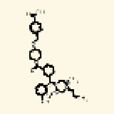 C=CCN1C[C@H](C)N([C@@H](c2cccc(O)c2)c2cccc(C(=O)N3CCC(NCc4ccc(C(=O)O)cc4)CC3)c2)C[C@H]1C